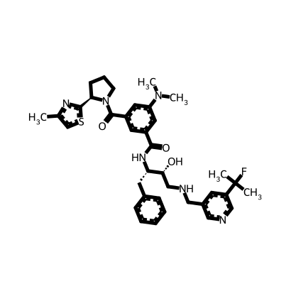 Cc1csc([C@H]2CCCN2C(=O)c2cc(C(=O)N[C@@H](Cc3ccccc3)[C@H](O)CNCc3cncc(C(C)(C)F)c3)cc(N(C)C)c2)n1